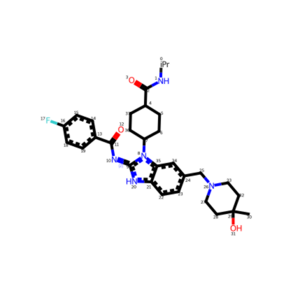 CC(C)NC(=O)C1CCC(n2/c(=N\C(=O)c3ccc(F)cc3)[nH]c3ccc(CN4CCC(C)(O)CC4)cc32)CC1